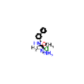 C=C(NC[C@H]1CCC[C@@H](c2ccccc2)C1)/C(OC)=C(Cl)\N=C/N